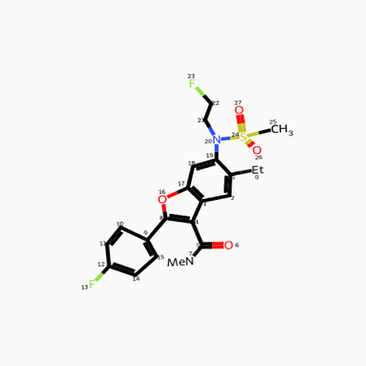 CCc1cc2c(C(=O)NC)c(-c3ccc(F)cc3)oc2cc1N(CCF)S(C)(=O)=O